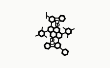 Cc1cc(C)c(-c2cc3c4c(cc5c(-c6c(C)cc(C)cc6C)cc6c7c(cc2c4c57)B2c4ccccc4-c4cc(-c5ccccc5)cc-6c42)B2c4ccccc4-c4cc(I)cc-3c42)c(C)c1